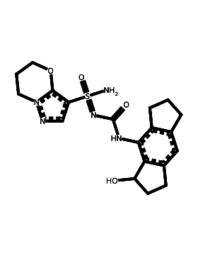 NS(=O)(=NC(=O)Nc1c2c(cc3c1C(O)CC3)CCC2)c1cnn2c1OCCC2